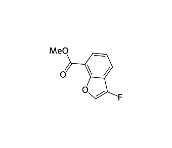 COC(=O)c1cccc2c(F)coc12